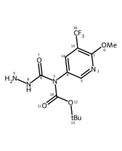 COc1ncc(N(C(=O)NN)C(=O)OC(C)(C)C)cc1C(F)(F)F